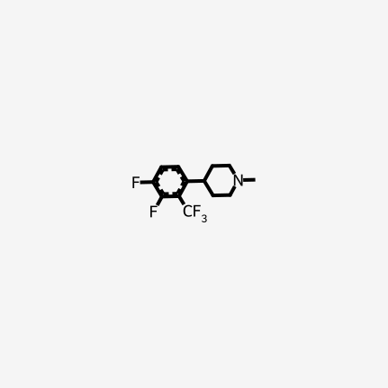 CN1CCC(c2ccc(F)c(F)c2C(F)(F)F)CC1